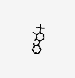 Cc1c(C(C)(C)C)ccc2c1oc1ccccc12